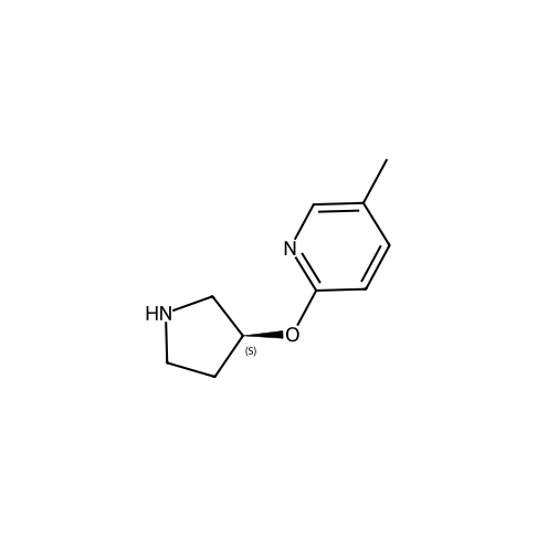 Cc1ccc(O[C@H]2CCNC2)nc1